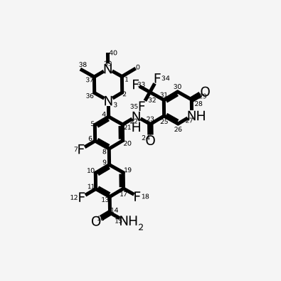 CC1CN(c2cc(F)c(-c3cc(F)c(C(N)=O)c(F)c3)cc2NC(=O)c2c[nH]c(=O)cc2C(F)(F)F)CC(C)N1C